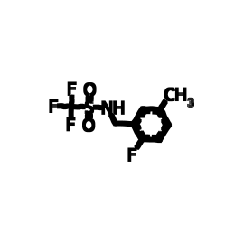 Cc1ccc(F)c(CNS(=O)(=O)C(F)(F)F)c1